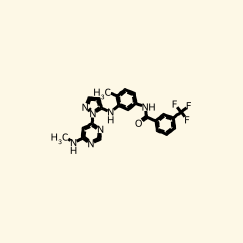 CNc1cc(-n2nccc2Nc2cc(NC(=O)c3cccc(C(F)(F)F)c3)ccc2C)ncn1